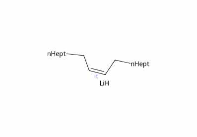 CCCCCCCC/C=C\CCCCCCCC.[LiH]